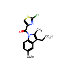 COc1ccc2c(c1)c(CC(=O)O)c(C)n2C(=O)c1csc(Cl)n1